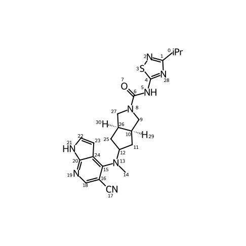 CC(C)c1nsc(NC(=O)N2C[C@H]3CC(N(C)c4c(C#N)cnc5[nH]ccc45)C[C@H]3C2)n1